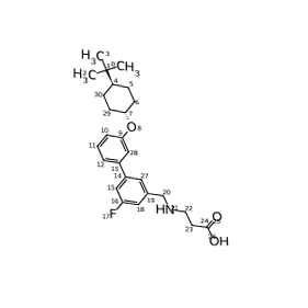 CC(C)(C)[C@H]1CC[C@H](Oc2cccc(-c3cc(F)cc(CNCCC(=O)O)c3)c2)CC1